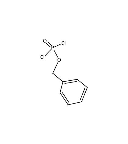 O=P(Cl)(Cl)OCc1ccccc1